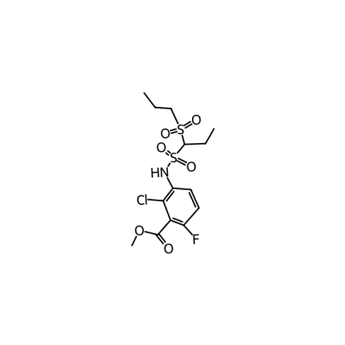 CCCS(=O)(=O)C(CC)S(=O)(=O)Nc1ccc(F)c(C(=O)OC)c1Cl